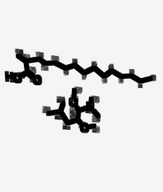 CCCCCCCCCCCCCC(C)C(=O)O.COC(CC(C)C)C(OC)N(C)C